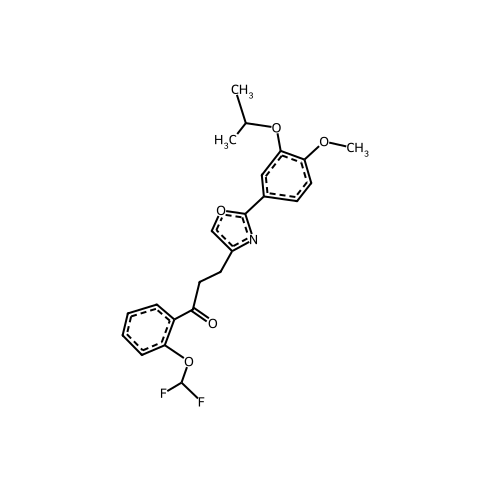 COc1ccc(-c2nc(CCC(=O)c3ccccc3OC(F)F)co2)cc1OC(C)C